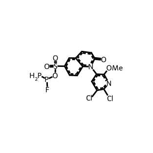 COc1nc(Cl)c(Cl)cc1-n1c(=O)ccc2cc(S(=O)(=O)OP(F)P)ccc21